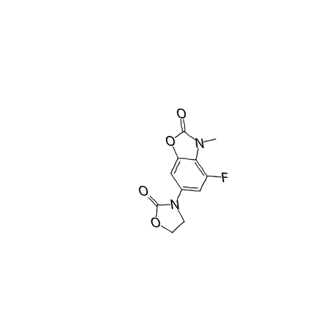 Cn1c(=O)oc2cc(N3CCOC3=O)cc(F)c21